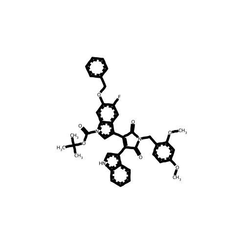 COc1ccc(CN2C(=O)C(c3c[nH]c4ccccc34)=C(c3cn(C(=O)OC(C)(C)C)c4cc(OCc5ccccc5)c(F)cc34)C2=O)c(OC)c1